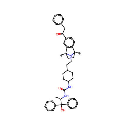 C[C@@H](NC(=O)NC1CCC(CCN2[C@@H]3CC[C@H]2c2ccc(C(=O)Cc4ccccc4)cc23)CC1)C(O)(c1ccccc1)c1ccccc1